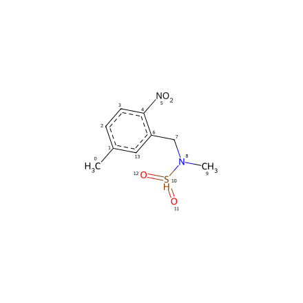 Cc1ccc([N+](=O)[O-])c(CN(C)[SH](=O)=O)c1